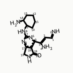 N=C/C=C(\N)c1nc(NC2CCCCC2N)nc2c1C(=O)NC2